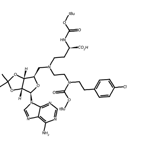 CC(C)(C)OC(=O)N[C@H](CCN(CCN(CCc1ccc(Cl)cc1)C(=O)OC(C)(C)C)C[C@H]1O[C@@H](n2cnc3c(N)ncnc32)[C@@H]2OC(C)(C)O[C@@H]21)C(=O)O